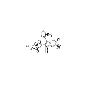 CS(=O)(=O)CC(=O)c1[nH]c2cc(Br)c(Cl)cc2c1-c1ccc[nH]1